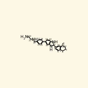 CN1CCCc2ccc(C3Nc4ccc(-c5ccc(CNCCN)cc5)cc4N3)cc21